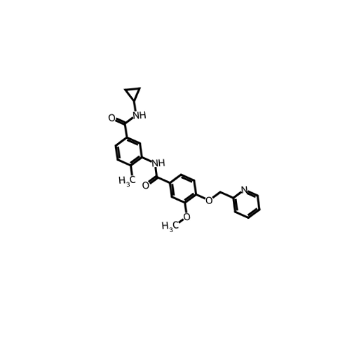 COc1cc(C(=O)Nc2cc(C(=O)NC3CC3)ccc2C)ccc1OCc1ccccn1